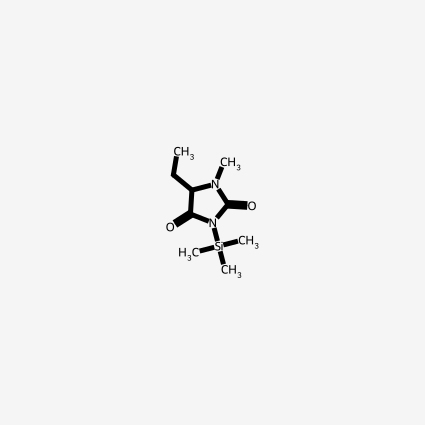 CCC1C(=O)N([Si](C)(C)C)C(=O)N1C